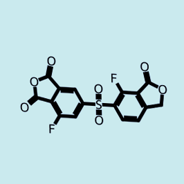 O=C1OC(=O)c2c(F)cc(S(=O)(=O)c3ccc4c(c3F)C(=O)OC4)cc21